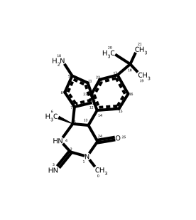 CN1C(=N)N[C@](C)(c2cc(N)cs2)C(c2ccc(C(C)(C)C)cc2)C1=O